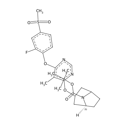 Cc1c(Oc2ccc(S(C)(=O)=O)cc2F)ncnc1OC1CC2CC[C@@H](C1)N2C(=O)OC(C)(C)C